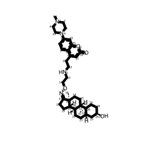 CN1CCN(c2ccc3c(CCNCCO/N=C4/CC[C@H]5[C@@H]6CC[C@H]7C[C@H](O)CC[C@]7(C)[C@H]6CC[C@]45C)cc(=O)oc3c2)CC1